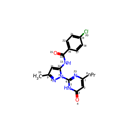 CCCc1cc(=O)[nH]c(-n2nc(C)cc2NC(=O)c2ccc(Cl)cc2)n1